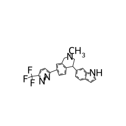 CN1Cc2cc(-c3ccc(C(F)(F)F)nn3)ccc2C(c2ccc3cc[nH]c3c2)C1